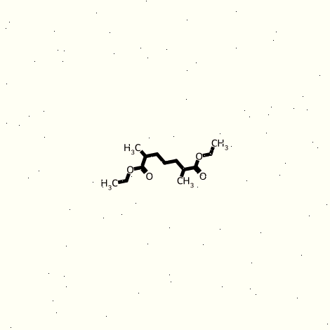 CCOC(=O)C(C)CCCC(C)C(=O)OCC